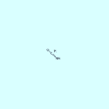 N=C=O.[P]